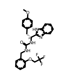 COc1ccc(C[C@@H](NC(=O)NCc2ccccc2OCC(F)(F)F)c2nc3ccccc3[nH]2)cc1